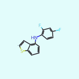 Fc1ccc(Nc2cccc3s[c]cc23)c(F)c1